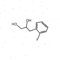 OCC(O)Cc1ccccc1F